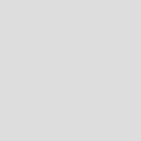 CO/C=N\C(C)Cl